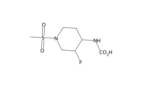 CS(=O)(=O)N1CCC(NC(=O)O)C(F)C1